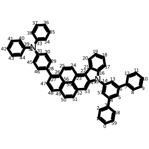 c1ccc(-c2cc(-c3ccccc3)cc(-n3c4ccccc4c4c5ccc6c(-c7ccc(N(c8ccccc8)c8ccccc8)cc7)ccc7ccc(cc43)c5c76)c2)cc1